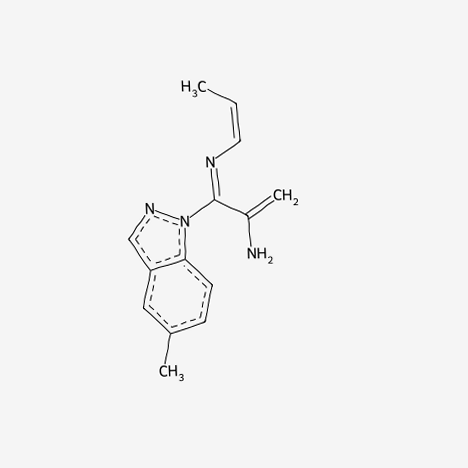 C=C(N)/C(=N\C=C/C)n1ncc2cc(C)ccc21